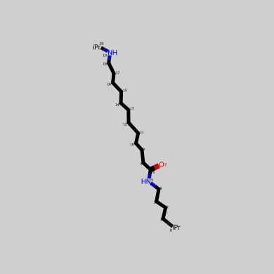 CC(C)CCCCNC(=O)CCCCCCCCCCCNC(C)C